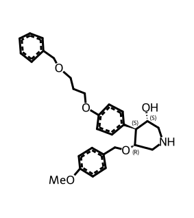 COc1ccc(CO[C@H]2CNC[C@@H](O)[C@@H]2c2ccc(OCCCOCc3ccccc3)cc2)cc1